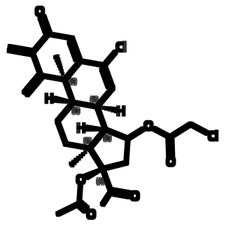 C=C1C(=C)[C@@]2(C)C(=CC1=O)C(Cl)=C[C@@H]1[C@@H]2CC[C@@]2(C)[C@H]1C(OC(=O)CCl)C[C@]2(OC(C)=O)C(C)=O